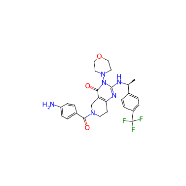 C[C@H](Nc1nc2c(c(=O)n1N1CCOCC1)CN(C(=O)c1ccc(N)cc1)CC2)c1ccc(C(F)(F)F)cc1